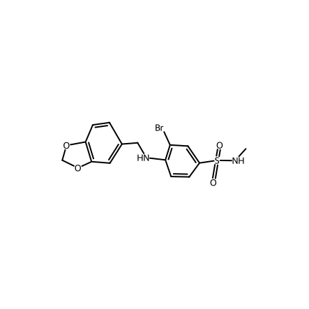 CNS(=O)(=O)c1ccc(NCc2ccc3c(c2)OCO3)c(Br)c1